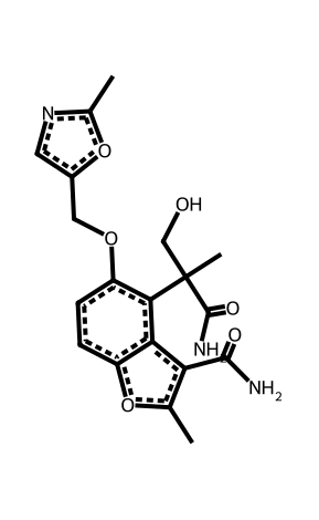 Cc1ncc(COc2ccc3oc(C)c(C(N)=O)c3c2C(C)(CO)C(N)=O)o1